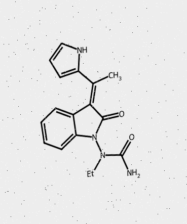 CCN(C(N)=O)N1C(=O)C(=C(C)c2ccc[nH]2)c2ccccc21